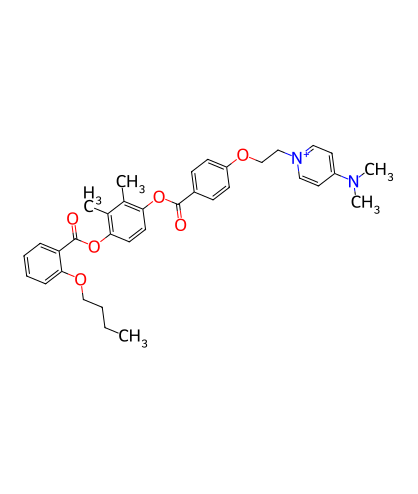 CCCCOc1ccccc1C(=O)Oc1ccc(OC(=O)c2ccc(OCC[n+]3ccc(N(C)C)cc3)cc2)c(C)c1C